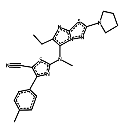 CCc1nc2sc(N3CCCC3)nn2c1N(C)c1nc(-c2ccc(C)cc2)c(C#N)s1